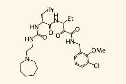 CCC(NC(=O)[C@H](CC(C)C)NC(=O)NCCN1CCCCCC1)C(=O)C(=O)NCc1cccc(Cl)c1OC